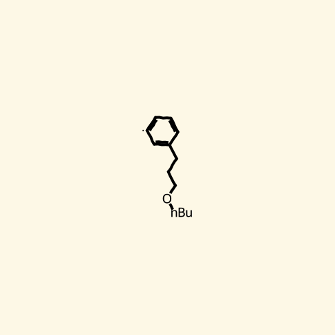 CCCCOCCCc1c[c]ccc1